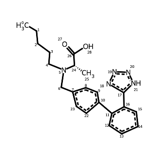 CCCCCN(Cc1ccc(-c2ccccc2-c2nnn[nH]2)cc1)[C@@H](C)C(=O)O